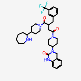 O=C(CC(Cc1cccc(C(F)(F)F)c1)C(=O)N1CCC(C2CCCCCN2)CC1)N1CCC(N2Cc3ccccc3NC2=O)CC1